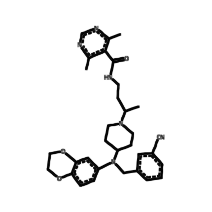 Cc1ncnc(C)c1C(=O)NCCC(C)N1CCC(N(Cc2cccc(C#N)c2)c2ccc3c(c2)OCCO3)CC1